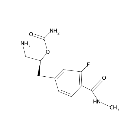 CNC(=O)c1ccc(C[C@@H](CN)OC(N)=O)cc1F